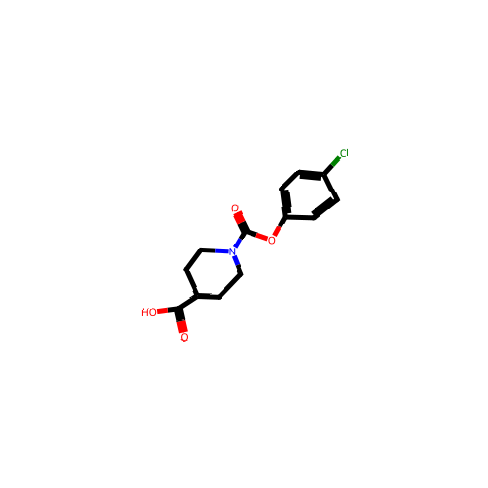 O=C(O)C1CCN(C(=O)Oc2ccc(Cl)cc2)CC1